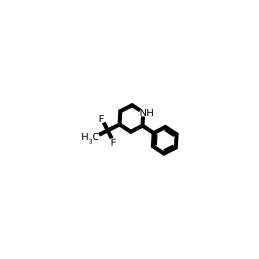 CC(F)(F)C1CCNC(c2ccccc2)C1